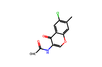 Cc1cc2occ(NC(=O)C=O)c(=O)c2cc1Cl